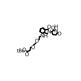 CC(C)(C)OC(=O)CCOCCOCCNc1cccc2c1CN(C1CCC(=O)NC1=O)C2=O